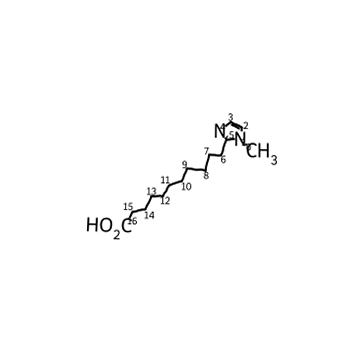 Cn1ccnc1CCCCCCCCCCC(=O)O